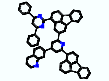 c1ccc(-c2cc(-c3ccccc3)nc(-c3ccc4c5c(cc(-c6cc(-c7ccc8cccnc8c7)cc(-c7ccc8c9c(cccc79)-c7ccccc7-8)n6)cc35)-c3ccccc3-4)n2)cc1